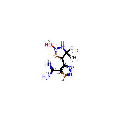 CC1(C)NN(O)SC1c1nnsc1C(=N)N